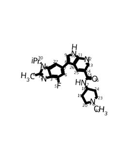 Cc1nc2c(F)cc(-c3c[nH]c4ncc(C(=O)NC5CCN(C)CC5)cc34)cc2n1C(C)C